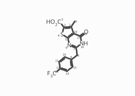 Cc1c(C(=O)O)sc2nc(Cc3ccc(C(F)(F)F)cc3)[nH]c(=O)c12